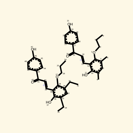 CCCOc1c(C)cc(C)c(O)c1/C=C/C(=O)c1ccc(O)cc1.CCCOc1c(CC)cc(CC)c(O)c1/C=C/C(=O)c1ccc(O)cc1